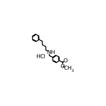 COC(=O)c1ccc(CNCCCCc2ccccc2)cc1.Cl